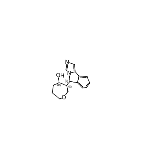 O[C@@H]1CCCOC[C@@H]1[C@@H]1c2ccccc2-c2cncn21